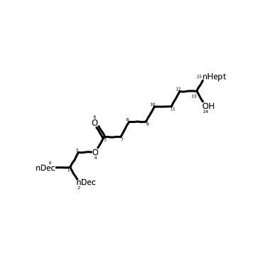 CCCCCCCCCCC(CCCCCCCCCC)COC(=O)CCCCCCC(O)CCCCCCC